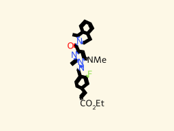 C=C1N=C(C(=O)N2CCC3C=CC=CC3C2C)C=C(NC)N1/N=C/C1=CCC(/C=C/C(=O)OCC)C=C1F